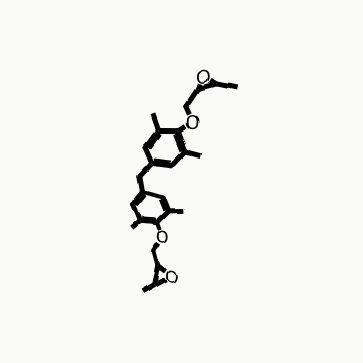 Cc1cc(Cc2cc(C)c(OCC3OC3C)c(C)c2)cc(C)c1OCC1OC1C